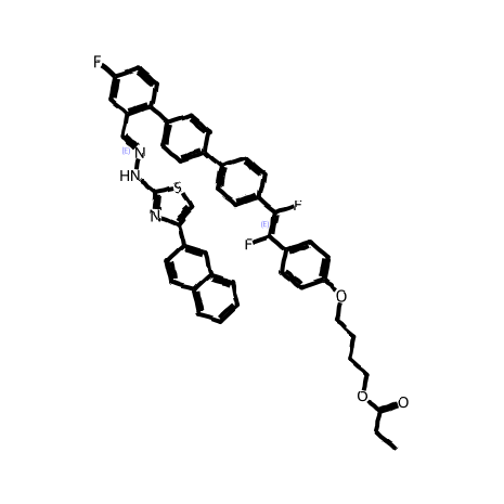 CCC(=O)OCCCCOc1ccc(/C(F)=C(\F)c2ccc(-c3ccc(-c4ccc(F)cc4/C=N/Nc4nc(-c5ccc6ccccc6c5)cs4)cc3)cc2)cc1